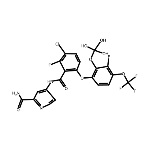 NC(=O)c1cc(NC(=O)c2c(Oc3ccc(OC(F)(F)F)c(F)c3OC(O)(O)O)ccc(Cl)c2F)ccn1